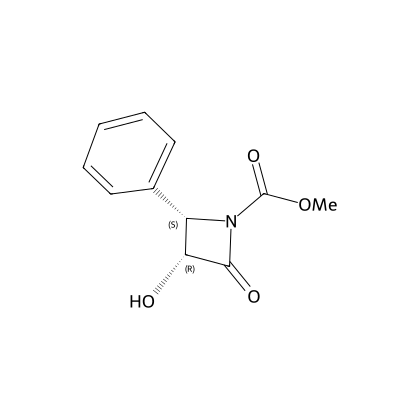 COC(=O)N1C(=O)[C@H](O)[C@@H]1c1ccccc1